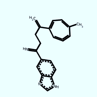 C=C(CCC(=N)c1ccc2[nH]cnc2c1)C1=CC=C(C)C=C=C1